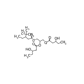 CCC(O)CC(=O)OCC(COC(=O)CC(CC)C(C)(C)C)OC(=O)CC(O)CC